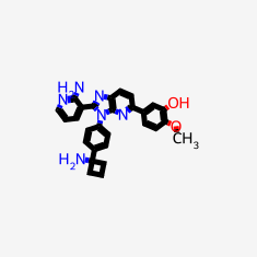 COc1ccc(-c2ccc3nc(-c4cccnc4N)n(-c4ccc(C5(N)CCC5)cc4)c3n2)cc1O